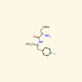 COC[C@H](N)C(=O)N[C@@H](Cc1ccc(F)cc1)C(=O)O